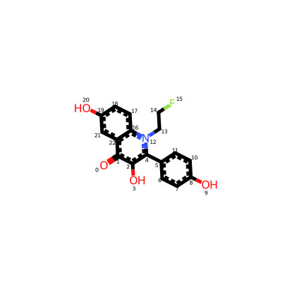 O=c1c(O)c(-c2ccc(O)cc2)n(CCF)c2ccc(O)cc12